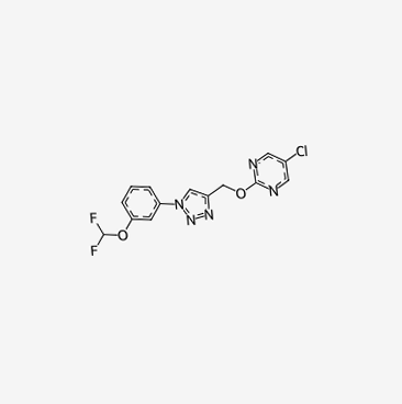 FC(F)Oc1cccc(-n2cc(COc3ncc(Cl)cn3)nn2)c1